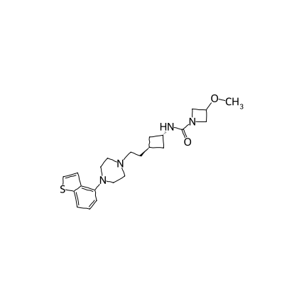 COC1CN(C(=O)N[C@H]2C[C@H](CCN3CCN(c4cccc5sccc45)CC3)C2)C1